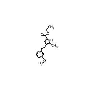 CCOC(=O)c1cc(CCc2cccc(OC)c2)c(C)[nH]1